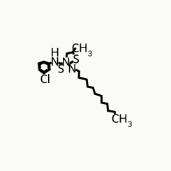 CCCCCCCCCCCCN=C1SC(C)CN1C(=S)Nc1cccc(Cl)c1